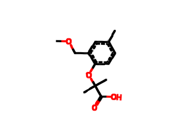 COCc1cc(C)ccc1OC(C)(C)C(=O)O